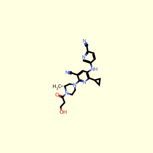 C[C@@H]1CN(c2nc(C3CC3)c(Nc3ccc(C#N)nc3)cc2C#N)CCN1C(=O)CCO